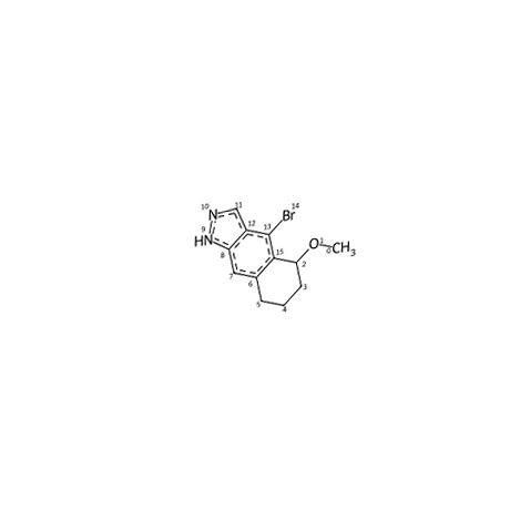 COC1CCCc2cc3[nH]ncc3c(Br)c21